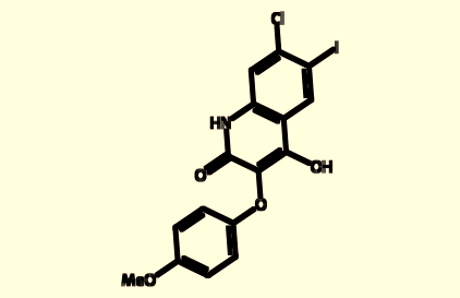 COc1ccc(Oc2c(O)c3cc(I)c(Cl)cc3[nH]c2=O)cc1